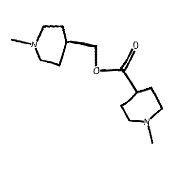 CN1CCC(COC(=O)C2CCN(C)CC2)CC1